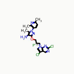 Cc1ccc(-n2nc(OC[C@@H](F)Cn3cc(Cl)c4cnc(Cl)nc43)c(N)c2C)c(C)n1